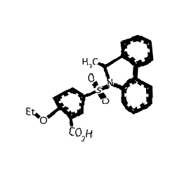 CCOc1ccc(S(=O)(=O)N2c3ccccc3-c3ccccc3C2C)cc1C(=O)O